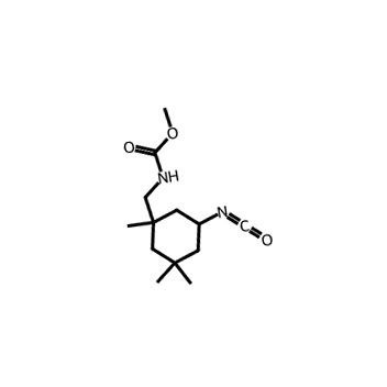 COC(=O)NCC1(C)CC(N=C=O)CC(C)(C)C1